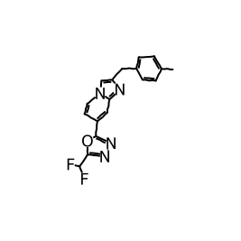 Cc1ccc(Cc2cn3ccc(-c4nnc(C(F)F)o4)cc3n2)cc1